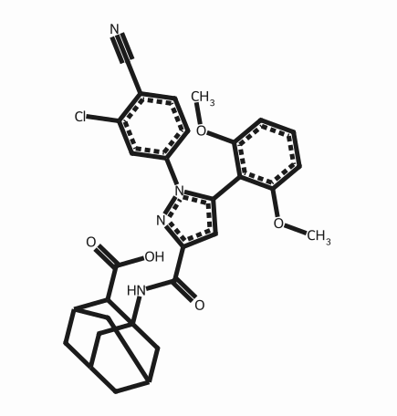 COc1cccc(OC)c1-c1cc(C(=O)NC23CC4CC(CC(C4)C2C(=O)O)C3)nn1-c1ccc(C#N)c(Cl)c1